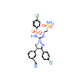 N#Cc1cccc([C@H]2CN(/C(=N/CCS(N)(=O)=O)NS(=O)(=O)c3ccc(Cl)cc3)N=C2c2ccc(Cl)cc2)c1